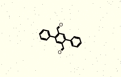 O=Cc1cc(-c2ccccc2)c(C=O)cc1-c1ccccc1